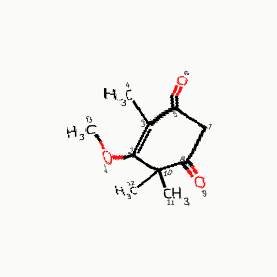 COC1=C(C)C(=O)CC(=O)C1(C)C